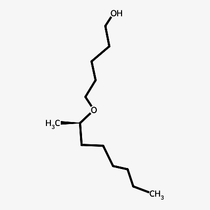 CCCCCC[C@@H](C)OCCCCCO